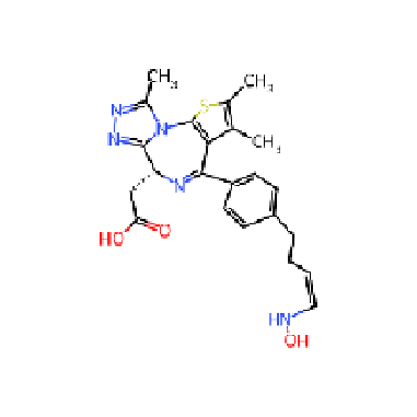 Cc1sc2c(c1C)C(c1ccc(CC/C=C\NO)cc1)=N[C@H](CC(=O)O)c1nnc(C)n1-2